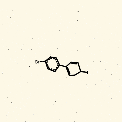 Brc1ccc(C2=CCC(I)C=C2)cc1